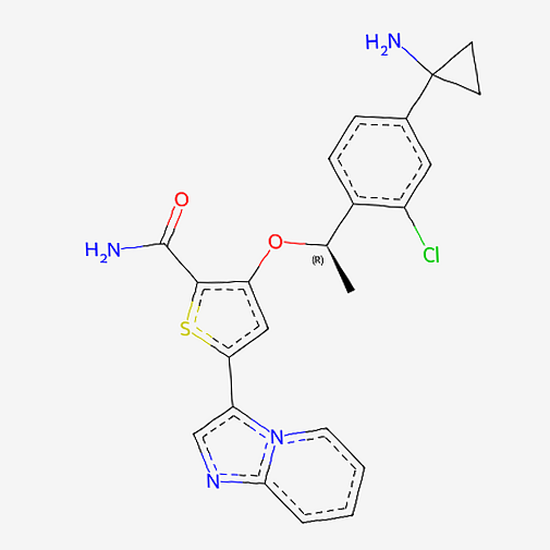 C[C@@H](Oc1cc(-c2cnc3ccccn23)sc1C(N)=O)c1ccc(C2(N)CC2)cc1Cl